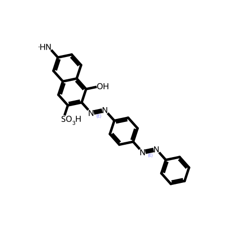 [NH]c1ccc2c(O)c(/N=N/c3ccc(/N=N/c4ccccc4)cc3)c(S(=O)(=O)O)cc2c1